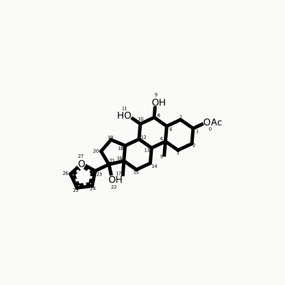 CC(=O)OC1CCC2(C)C(C1)C(O)C(O)C1C2CCC2(C)C1CCC2(O)c1ccco1